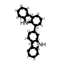 c1ccc2c(c1)[nH]c1cc(-c3cccc4c3[nH]c3ccccc34)ccc12